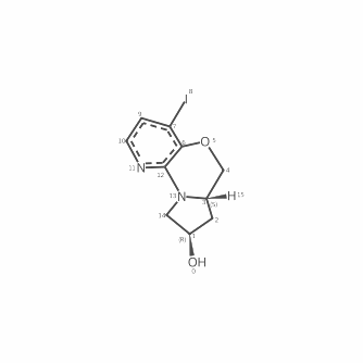 O[C@@H]1C[C@H]2COc3c(I)ccnc3N2C1